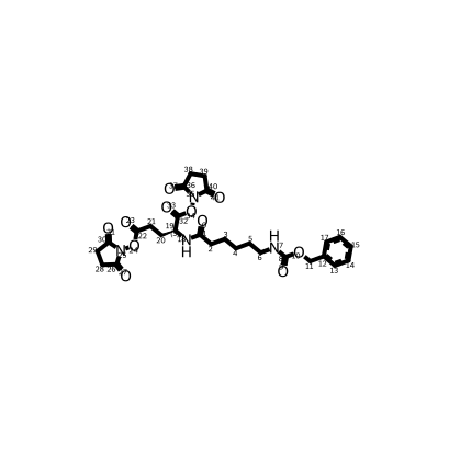 O=C(CCCCCNC(=O)OCc1ccccc1)N[C@@H](CCC(=O)ON1C(=O)CCC1=O)C(=O)ON1C(=O)CCC1=O